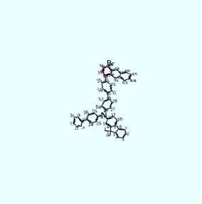 CC1(C)c2ccccc2-c2ccc(N(c3ccc(-c4ccccc4)cc3)c3ccc(-c4ccc(-c5ccc(Br)c6c5C5c7ccccc7C6c6ccccc65)cc4)cc3)cc21